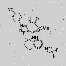 CSCC(=O)Nc1c2c(nn1-c1ccc(C#N)cn1)C[C@]1(CCCc3cc(N4CC(F)(F)C4)ccc31)NC2=O